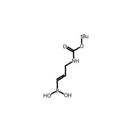 CC(C)(C)OC(=O)NCC=CB(O)O